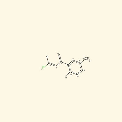 C=C(/C=C(\C)F)c1cc(C(F)(F)F)ccc1C